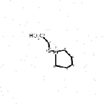 O=C(O)C[S][Bi]1[CH2]CCC[CH2]1